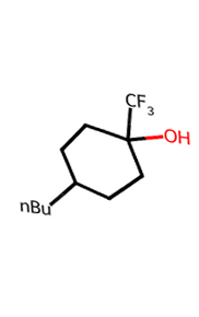 CCCCC1CCC(O)(C(F)(F)F)CC1